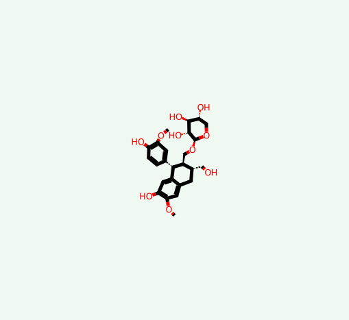 COc1cc([C@H]2c3cc(O)c(OC)cc3C[C@@H](CO)[C@@H]2CO[C@@H]2OC[C@@H](O)[C@H](O)[C@H]2O)ccc1O